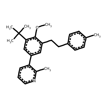 COc1c(CCc2ccc(C)cc2)cc(-c2cccnc2C)cc1C(C)(C)C